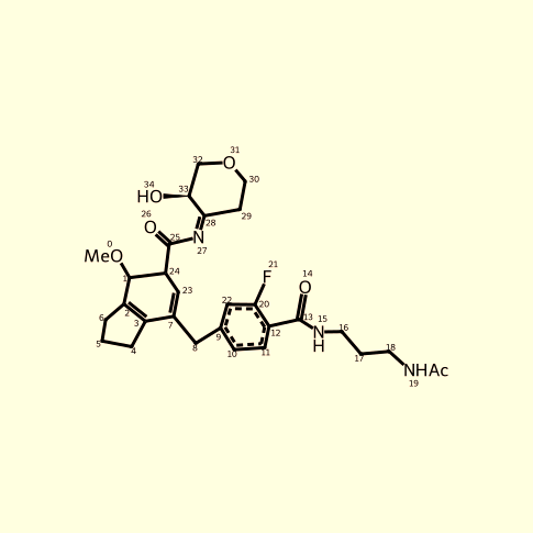 COC1C2=C(CCC2)C(Cc2ccc(C(=O)NCCCNC(C)=O)c(F)c2)=CC1C(=O)/N=C1/CCOC[C@@H]1O